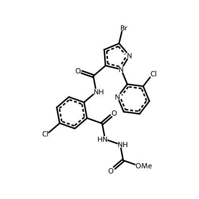 COC(=O)NNC(=O)c1cc(Cl)ccc1NC(=O)c1cc(Br)nn1-c1ncccc1Cl